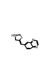 C(=C1CNCS1)c1ccc2nccnc2c1